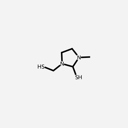 CN1CCN(CS)C1S